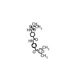 CC1CN(C(=O)c2ccc(NC(=O)C3CCC(NS(=O)(=O)C(C)C)CC3)cc2)CC(C)O1